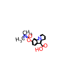 CN(C)C(=O)Oc1ccc2c(C(=O)O)c3ccccn3c2c1